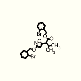 CC(C)C(C(=O)OCc1ccccc1Br)c1cc(OCc2ccccc2Br)no1